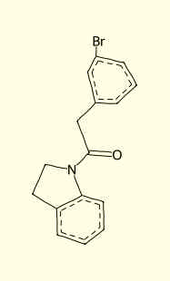 O=C(Cc1cccc(Br)c1)N1CCc2ccccc21